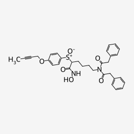 CC#CCOc1ccc([S+]([O-])C(CCCCN(C(=O)Cc2ccccc2)C(=O)Cc2ccccc2)C(=O)NO)cc1